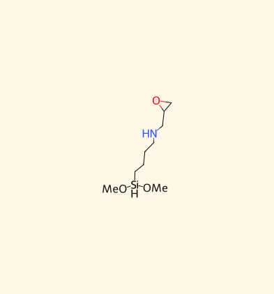 CO[SiH](CCCCNCC1CO1)OC